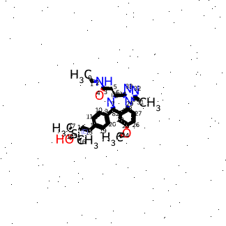 CCNC(=O)C[C@@H]1N=C(c2ccc(/C=C/[Si](C)(C)O)cc2)c2cc(OC)ccc2-n2c(C)nnc21